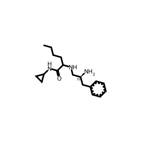 CCCCC(NC[C@@H](N)Cc1ccccc1)C(=O)NC1CC1